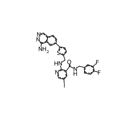 Nc1nncc2ccc(-c3ccc(CNc4ncc(I)cc4C(=O)NCc4ccc(F)c(F)c4)s3)cc12